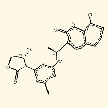 CC[C@H]1COC(=O)N1c1nc(C)nc(N[C@@H](C)c2cc3cccc(Cl)c3[nH]c2=O)n1